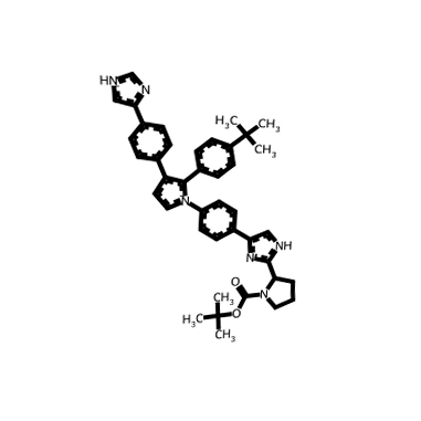 CC(C)(C)OC(=O)N1CCCC1c1nc(-c2ccc(-n3ccc(-c4ccc(-c5c[nH]cn5)cc4)c3-c3ccc(C(C)(C)C)cc3)cc2)c[nH]1